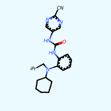 CC(C)CN(c1ccccc1NC(=O)Nc1cnc(C#N)nc1)C1CCCCC1